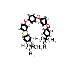 CC(C)(C)Oc1ccc(Sc2ccc(Oc3ccc(Oc4ccc(Oc5ccc(C(C)(C)C)cc5)cc4)cc3)cc2)cc1